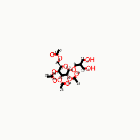 CC(=O)OC[C@H]1O[C@@H](OCC(CO)CO)[C@H](OC(C)=O)[C@@H](OC(C)=O)[C@H]1OC(C)=O